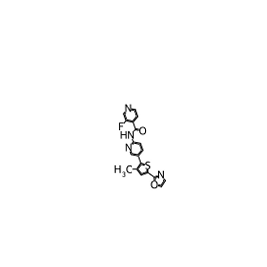 Cc1cc(-c2ncco2)sc1-c1ccc(NC(=O)c2ccncc2F)nc1